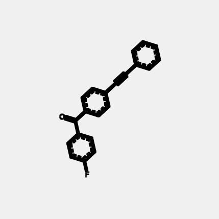 O=C(c1ccc(F)cc1)c1ccc(C#Cc2ccccc2)cc1